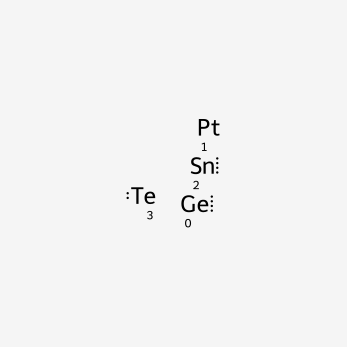 [Ge].[Pt].[Sn].[Te]